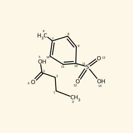 CCCC(=O)O.Cc1ccc(S(=O)(=O)O)cc1